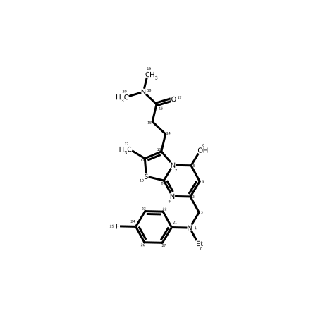 CCN(CC1=CC(O)N2C(=N1)SC(C)=C2CCC(=O)N(C)C)c1ccc(F)cc1